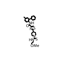 COCCNC(=S)N1CCC(c2nc(C(=O)Nc3ccc(C)cc3-c3ccccc3)cs2)CC1